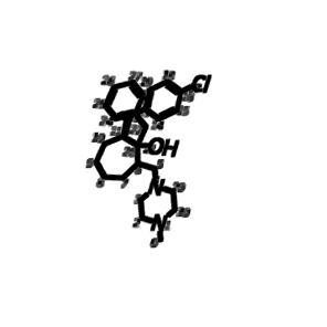 CN1CCN(CC2CCCC/C(=C/c3ccc(Cl)cc3)C2(O)Cc2ccccc2)CC1